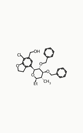 CC[C@H]1O[C@@H](c2cc(CO)c(Cl)c3c2CCO3)[C@H](OCc2ccccc2)[C@@H](OCc2ccccc2)[C@@H]1C